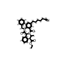 CCOC(=O)CC(C)N1C(=O)c2cc(CCCCCC#N)ccc2N(Cc2ccccc2)C(=O)C1c1ccccc1